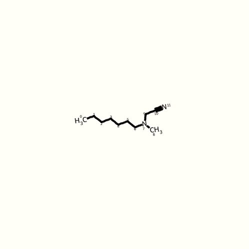 CCCCCCCN(C)CC#N